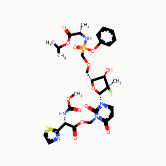 COC(=O)N[C@H](C(=O)OCn1c(=O)ccn([C@@H]2O[C@H](COCP(=O)(N[C@@H](C)C(=O)OC(C)C)Oc3ccccc3)[C@@H](O)[C@@]2(C)F)c1=O)c1nccs1